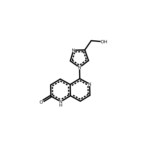 O=c1ccc2c(-n3cnc(CO)c3)nccc2[nH]1